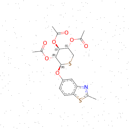 CC(=O)O[C@@H]1[C@@H](OC(C)=O)[C@H](OC(C)=O)CS[C@H]1Oc1ccc2sc(C)nc2c1